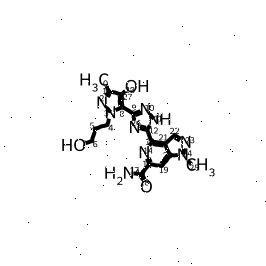 Cc1nn(CCCO)c(-c2n[nH]c(-c3nc(C(N)=O)cc4c3cnn4C)n2)c1O